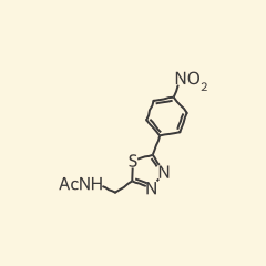 CC(=O)NCc1nnc(-c2ccc([N+](=O)[O-])cc2)s1